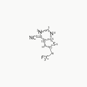 N#Cc1ncnc2sc(CC(F)(F)F)cc12